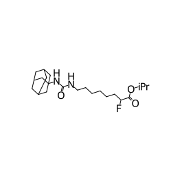 CC(C)OC(=O)C(F)CCCCCCNC(=O)NC12CC3CC(CC(C3)C1)C2